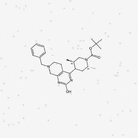 C[C@@H]1CC(c2nc(O)nc3c2CCN(Cc2ccccc2)C3)[C@@H](C)CN1C(=O)OC(C)(C)C